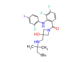 CC(C)(C)CC(C)(C)NCC1(O)CN(C(=O)c2ccc(F)c(F)c2Nc2ccc(I)cc2F)C1